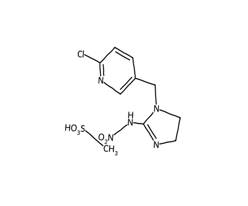 CS(=O)(=O)O.O=[N+]([O-])NC1=NCCN1Cc1ccc(Cl)nc1